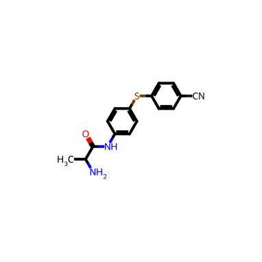 CC(N)C(=O)Nc1ccc(Sc2ccc(C#N)cc2)cc1